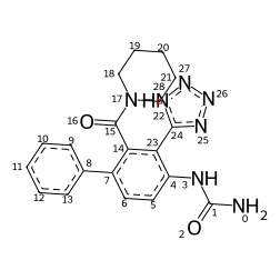 NC(=O)Nc1ccc(-c2ccccc2)c(C(=O)N2CCCCC2)c1-c1nnn[nH]1